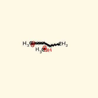 CC(=O)O.CCCCCCCCC#CC#CCCCCCCCCOC(C)=O